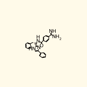 N=C(N)c1ccc(C(=O)N[C@@H](Cc2ccccc2)c2nc(-c3ccccc3)c[nH]2)cc1